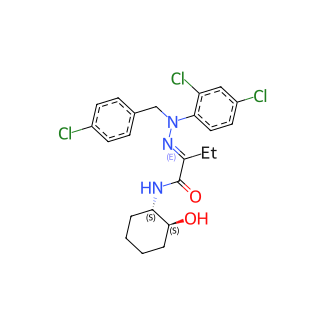 CC/C(=N\N(Cc1ccc(Cl)cc1)c1ccc(Cl)cc1Cl)C(=O)N[C@H]1CCCC[C@@H]1O